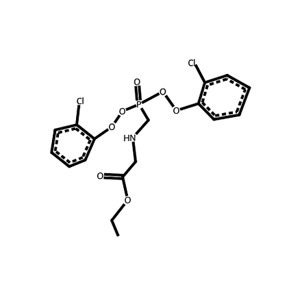 CCOC(=O)CNCP(=O)(OOc1ccccc1Cl)OOc1ccccc1Cl